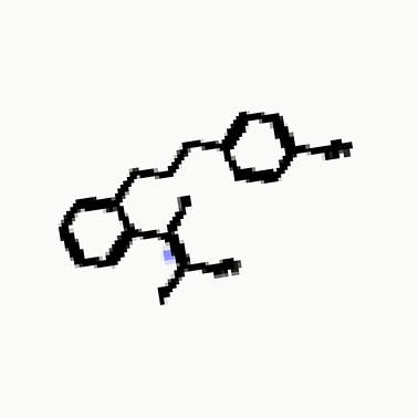 CCC/C(F)=C(\F)c1ccccc1CCCc1ccc(CCC)cc1